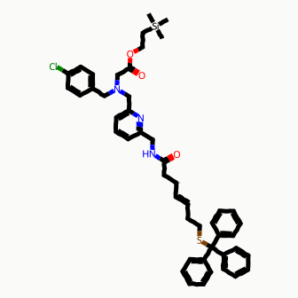 C[Si](C)(C)CCOC(=O)CN(Cc1ccc(Cl)cc1)Cc1cccc(CNC(=O)C[CH]/C=C/CCSC(c2ccccc2)(c2ccccc2)c2ccccc2)n1